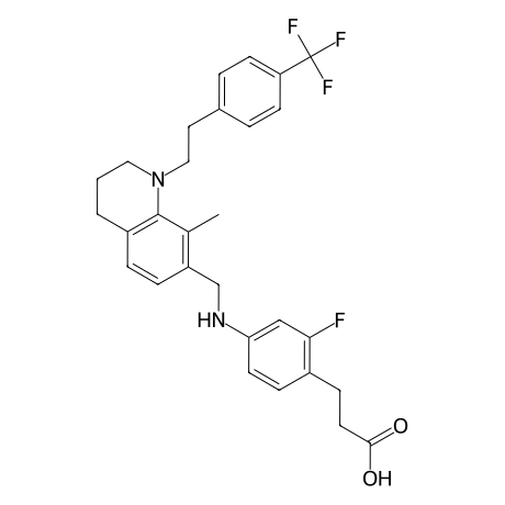 Cc1c(CNc2ccc(CCC(=O)O)c(F)c2)ccc2c1N(CCc1ccc(C(F)(F)F)cc1)CCC2